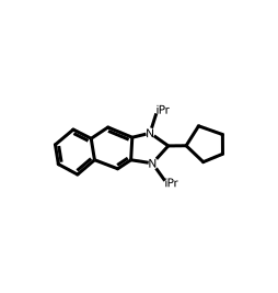 CC(C)N1c2cc3ccccc3cc2N(C(C)C)C1C1CCCC1